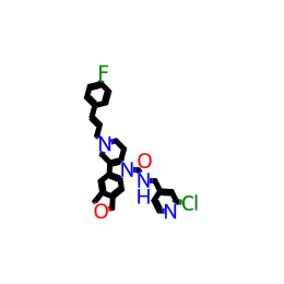 O=C(NCc1ccnc(Cl)c1)n1c2c(c3cc4c(cc31)COC4)CN(CC=Cc1ccc(F)cc1)CC2